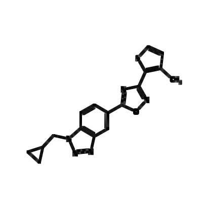 Cc1ccsc1-c1noc(-c2ccc3c(c2)nnn3CC2CC2)n1